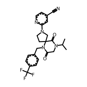 CC(C)N1CC(=O)N(Cc2ccc(C(F)(F)F)cc2)C2(CCN(c3cc(C#N)ccn3)C2)C1=O